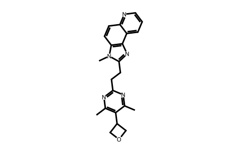 Cc1nc(CCc2nc3c4cccnc4ccc3n2C)nc(C)c1C1COC1